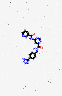 O=C(Nc1cc(C(=O)NCc2ccc(-c3nnn[nH]3)cc2)ncn1)c1cccnc1